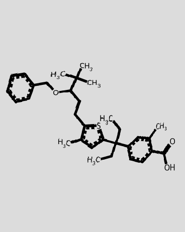 CCC(CC)(c1ccc(C(=O)O)c(C)c1)c1cc(C)c(CCC(OCc2ccccc2)C(C)(C)C)s1